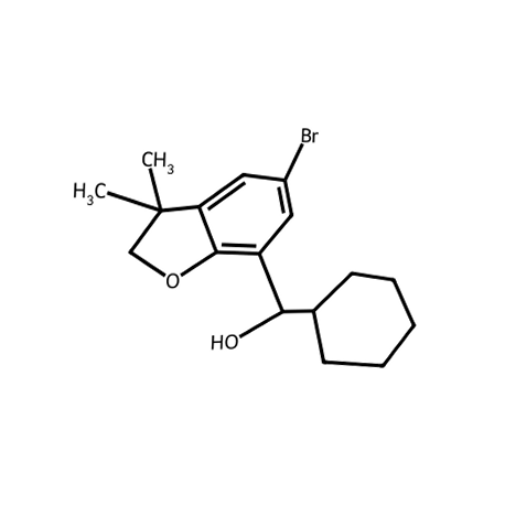 CC1(C)COc2c(C(O)C3CCCCC3)cc(Br)cc21